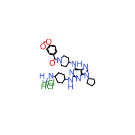 Cl.Cl.NC1CCC(Nc2nc(NC3CCN(C(=O)c4ccc5c(c4)OCO5)CC3)c3ncn(C4CCCC4)c3n2)CC1